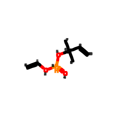 C=CO[PH](=O)O[Si](C)(C)C=C